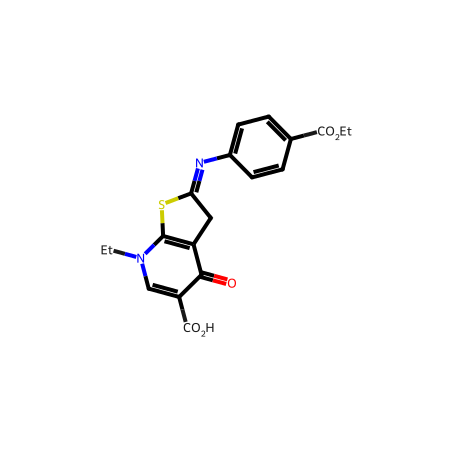 CCOC(=O)c1ccc(/N=C2\Cc3c(n(CC)cc(C(=O)O)c3=O)S2)cc1